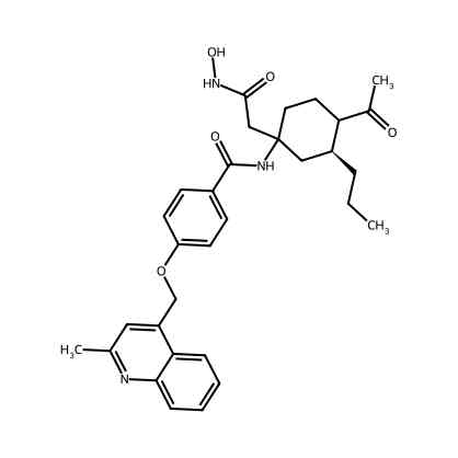 CCC[C@H]1CC(CC(=O)NO)(NC(=O)c2ccc(OCc3cc(C)nc4ccccc34)cc2)CCC1C(C)=O